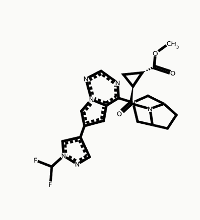 COC(=O)[C@H]1C[C@@H]1C(=O)N1C2CCC1CN(c1ncnn3cc(-c4cnn(C(F)F)c4)cc13)C2